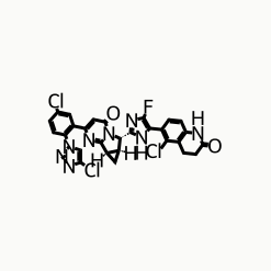 O=C1CCc2c(ccc(-c3[nH]c([C@@H]4[C@H]5C[C@H]5c5nc(-c6cc(Cl)ccc6-n6cc(Cl)nn6)cc(=O)n54)nc3F)c2Cl)N1